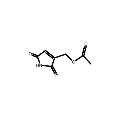 CC(=O)OCC1=CC(=O)NC1=O